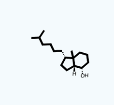 CC(C)CCCC[C@H]1CC[C@H]2[C@@H](O)CCCC12C